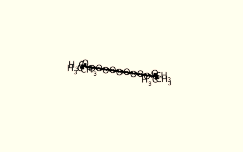 CC(C)(C)C(=O)CCOCCOCCOCCOCCOCCOCCOCCOCCOCCC(=O)C(C)(C)C